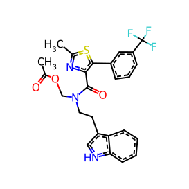 CC(=O)OCN(CCc1c[nH]c2ccccc12)C(=O)c1nc(C)sc1-c1cccc(C(F)(F)F)c1